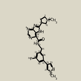 CN1CCC(c2nc3ncnc(C(=O)NCc4cc(F)cc(-c5cnn(C)c5)c4)c3[nH]2)C1